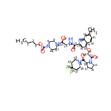 CCCCOC(=O)N1CCN(C(=O)CNC(=O)c2cc(OCC(=O)N3CCCC3C(=O)N3CCC(F)(F)CC3)c3ccc(C)cc3n2)CC1